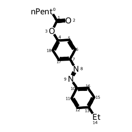 CCCCCC(=O)Oc1ccc(N=Nc2ccc(CC)cc2)cc1